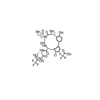 NC[C@H](O)C[C@@H]1NC(=O)[C@@H](N)Cc2cc(ccc2O)-c2ccc(Cl)c(c2)C[C@@H](C(=O)N[C@@H](CO)C(=O)O)NC1=O.O=C(O)C(F)(F)F.O=C(O)C(F)(F)F